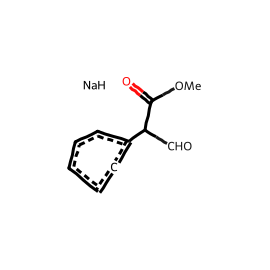 COC(=O)C(C=O)c1ccccc1.[NaH]